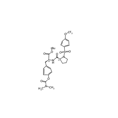 CN(C)C(=O)Oc1ccc(C[C@H](NC(=O)[C@@H]2CCCN2S(=O)(=O)c2ccc(OC(F)(F)F)cc2)C(=O)OC(C)(C)C)cc1